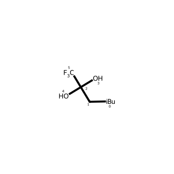 CCC(C)CC(O)(O)C(F)(F)F